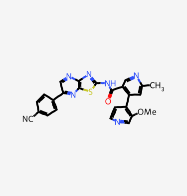 COc1cnccc1-c1cc(C)ncc1C(=O)Nc1nc2ncc(-c3ccc(C#N)cc3)nc2s1